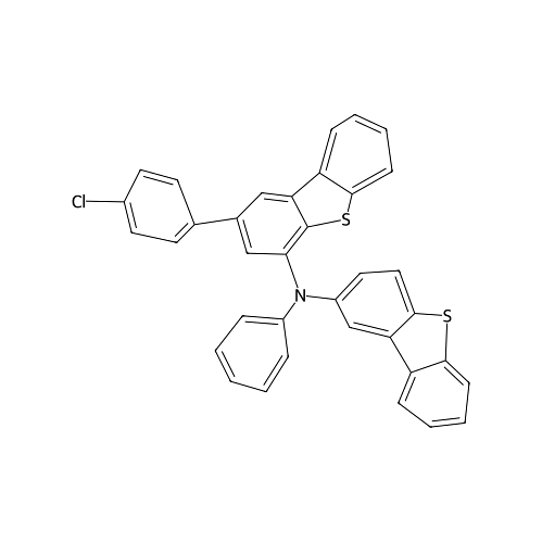 Clc1ccc(-c2cc(N(c3ccccc3)c3ccc4sc5ccccc5c4c3)c3sc4ccccc4c3c2)cc1